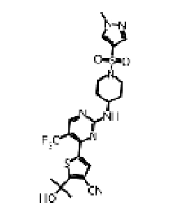 Cn1cc(S(=O)(=O)N2CCC(Nc3ncc(C(F)(F)F)c(-c4cc(C#N)c(C(C)(C)O)s4)n3)CC2)cn1